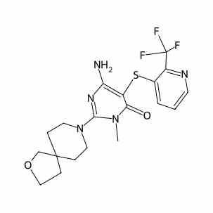 Cn1c(N2CCC3(CCOC3)CC2)nc(N)c(Sc2cccnc2C(F)(F)F)c1=O